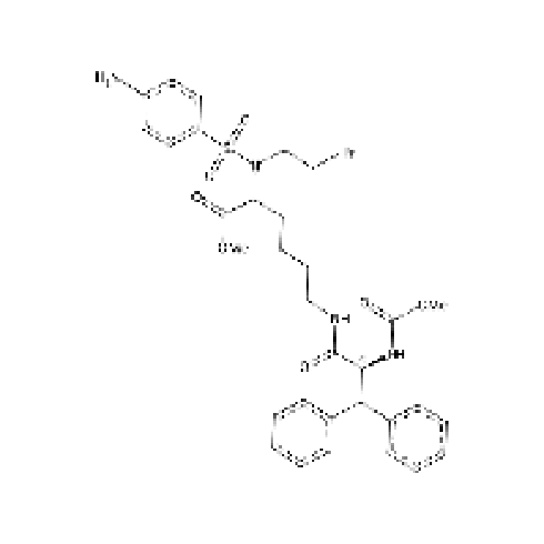 COC(=O)N[C@H](C(=O)NCCCCC(C(=O)OC)N(CCC(C)C)S(=O)(=O)c1ccc(N)cc1)C(c1ccccc1)c1ccccc1